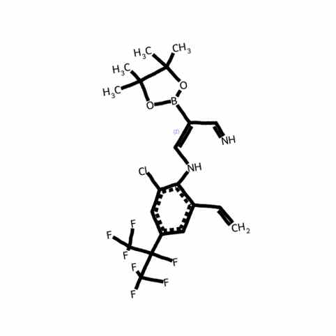 C=Cc1cc(C(F)(C(F)(F)F)C(F)(F)F)cc(Cl)c1N/C=C(\C=N)B1OC(C)(C)C(C)(C)O1